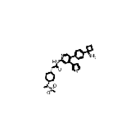 CN([C@H]1CC[C@H](CC(=O)Nc2cc(-c3ccsc3)c(-c3ccc(C4(N)CCC4)cc3)cn2)CC1)S(C)(=O)=O